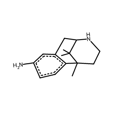 CC12CCNC(Cc3cc(N)ccc31)C2(C)C